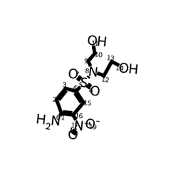 Nc1ccc(S(=O)(=O)N(CCO)CCO)cc1[N+](=O)[O-]